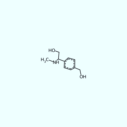 CNC(CO)c1ccc(CO)cc1